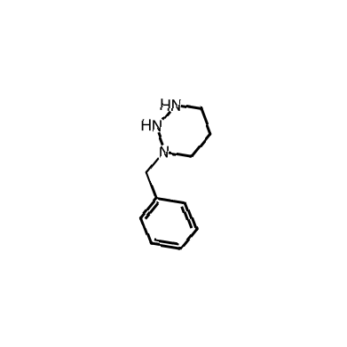 c1ccc(CN2CCCNN2)cc1